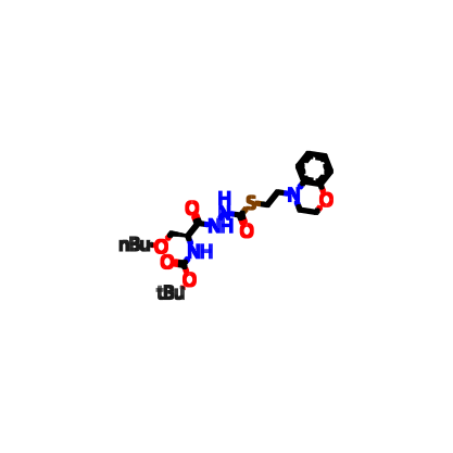 CCCCOC[C@H](NC(=O)OC(C)(C)C)C(=O)NNC(=O)SCCN1CCOc2ccccc21